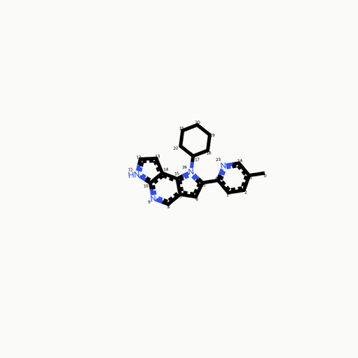 Cc1ccc(-c2cc3cnc4[nH]ccc4c3n2C2CCCCC2)nc1